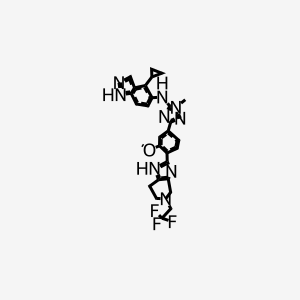 COc1cc(-c2nc(Nc3ccc4[nH]ncc4c3C3CC3)n(C)n2)ccc1-c1nc2c([nH]1)CCN(CC(F)(F)F)C2